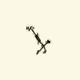 CC#CC(F)(F)Br